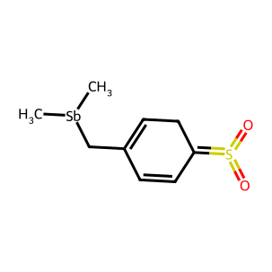 [CH3][Sb]([CH3])[CH2]C1=CCC(=S(=O)=O)C=C1